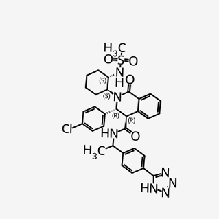 CC(NC(=O)[C@@H]1c2ccccc2C(=O)N([C@H]2CCCC[C@@H]2NS(C)(=O)=O)[C@H]1c1ccc(Cl)cc1)c1ccc(-c2nnn[nH]2)cc1